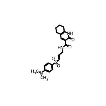 CN(C)c1ccc(S(=O)(=O)/C=C/CNC(=O)c2cc3c([nH]c2=O)CCCC3)cc1